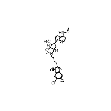 CC1O[C@@H]2[C@H](CC(n3ccc4c(NC5CC5)ncnc43)[C@@H]2O)CN1CCCCc1nc2cc(Cl)c(Cl)cc2[nH]1